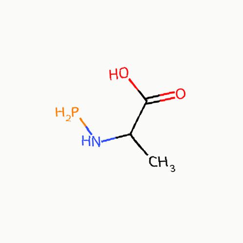 CC(NP)C(=O)O